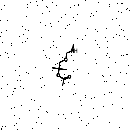 CNCOCC(C)(C)OC(C)=O